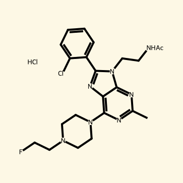 CC(=O)NCCn1c(-c2ccccc2Cl)nc2c(N3CCN(CCF)CC3)nc(C)nc21.Cl